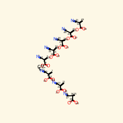 C=C(C#N)C(=O)[O-].C=C(C#N)C(=O)[O-].C=C(C#N)C(=O)[O-].C=C(C#N)C(=O)[O-].C=C(C#N)C(=O)[O-].C=C(C#N)C(=O)[O-].C=C(C#N)C(=O)[O-].C=C(C#N)C(=O)[O-].[C+4].[C+4]